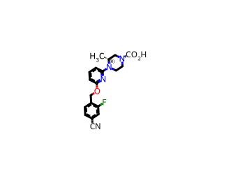 C[C@@H]1CN(C(=O)O)CCN1c1cccc(OCc2ccc(C#N)cc2F)n1